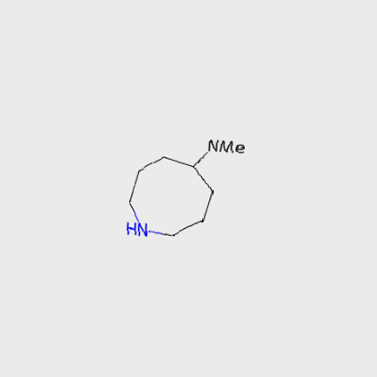 CNC1CCCNCCC1